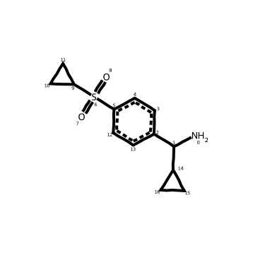 NC(c1ccc(S(=O)(=O)C2CC2)cc1)C1CC1